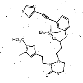 Cc1cc(CCN2C(=O)SCCN2CCC(Cc2cccc(C#Cc3cscn3)c2)O[Si](C)(C)C(C)(C)C)sc1C(=O)O